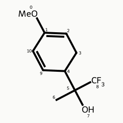 COC1=CCC(C(C)(O)C(F)(F)F)C=C1